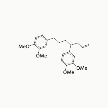 C=CCC(CCCc1[c]cc(OC)c(OC)c1)c1ccc(OC)c(OC)c1